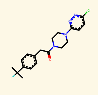 CC(C)(F)c1ccc(CC(=O)N2CCN(c3ccc(Cl)nn3)CC2)cc1